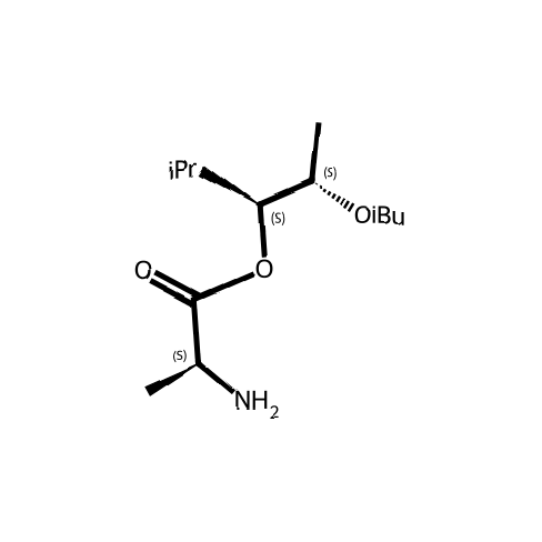 CC(C)CO[C@@H](C)[C@@H](OC(=O)[C@H](C)N)C(C)C